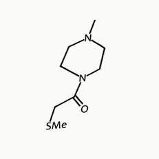 CSCC(=O)N1CCN(C)CC1